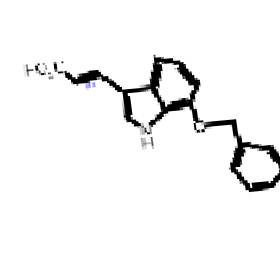 O=C(O)/C=C/c1c[nH]c2c(OCc3ccccc3)cccc12